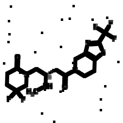 CN[C@@H](CC(=O)N1CCc2sc(C(F)(F)F)nc2C1)CN1CC(F)(F)CCC1=O